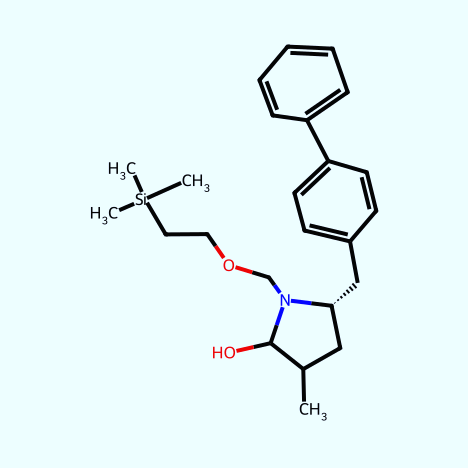 CC1C[C@@H](Cc2ccc(-c3ccccc3)cc2)N(COCC[Si](C)(C)C)C1O